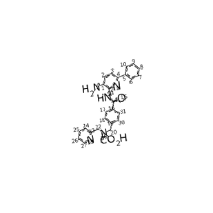 Nc1ccc(-c2ccccc2)nc1NC(=O)c1ccc(CN(Cc2ccccn2)C(=O)O)cc1